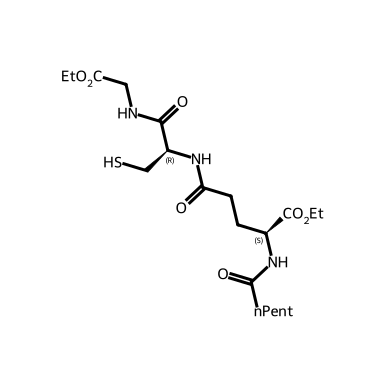 CCCCCC(=O)N[C@@H](CCC(=O)N[C@@H](CS)C(=O)NCC(=O)OCC)C(=O)OCC